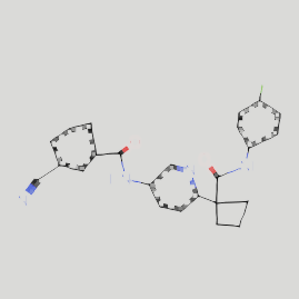 N#Cc1cccc(C(=O)Nc2ccc(C3(C(=O)Nc4ccc(F)cc4)CCC3)nc2)c1